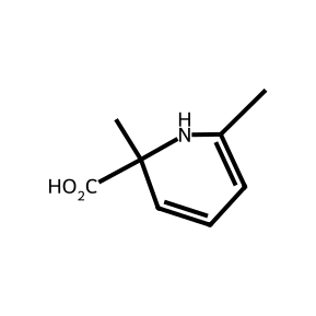 CC1=CC=CC(C)(C(=O)O)N1